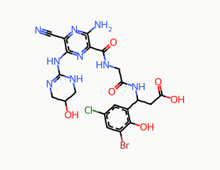 N#Cc1nc(N)c(C(=O)NCC(=O)NC(CC(=O)O)c2cc(Cl)cc(Br)c2O)nc1NC1=NCC(O)CN1